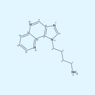 NCCCCn1cnc2cnc3cccnc3c21